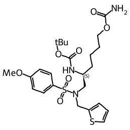 COc1ccc(S(=O)(=O)N(Cc2cccs2)C[C@H](CCCCOC(N)=O)NC(=O)OC(C)(C)C)cc1